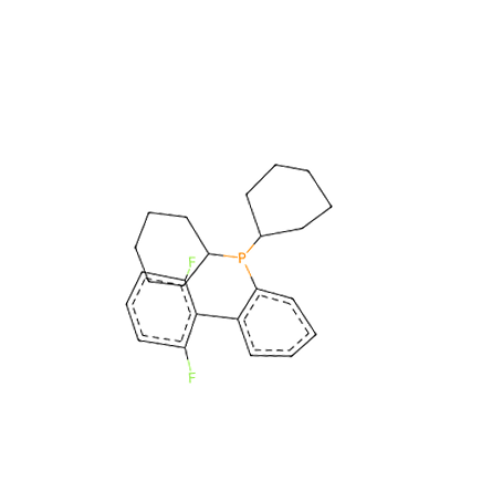 Fc1cccc(F)c1-c1ccccc1P(C1CCCCC1)C1CCCCC1